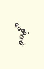 c1cc2[nH]cc(-c3cncc(O[C@@H]4CCCNC4)n3)c2cc1-c1csc(N2CCCC2)n1